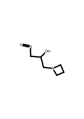 O=NCC(O)CN1CCC1